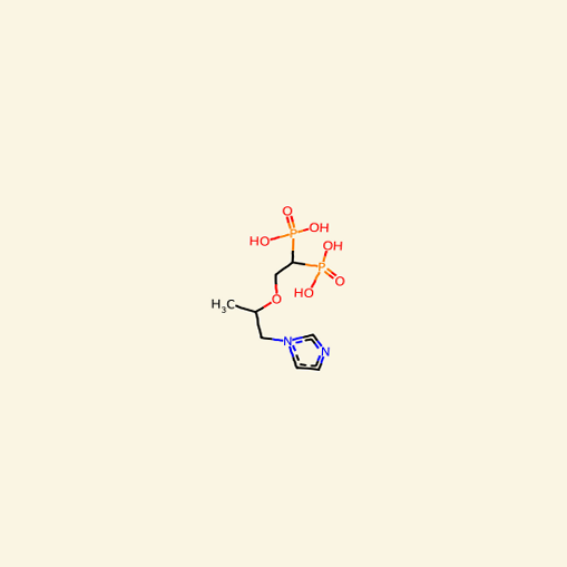 CC(Cn1ccnc1)OCC(P(=O)(O)O)P(=O)(O)O